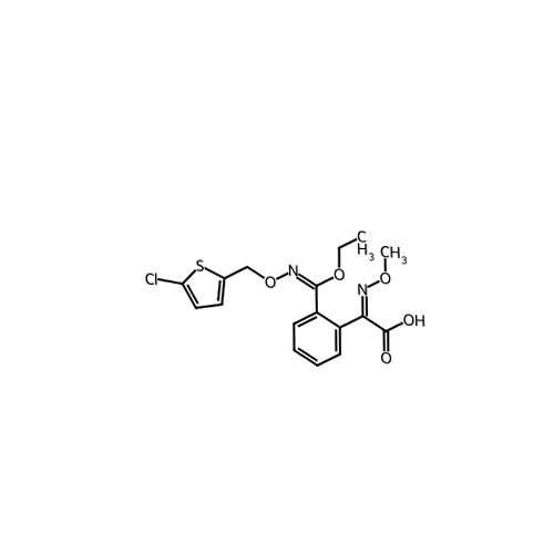 CCO/C(=N/OCc1ccc(Cl)s1)c1ccccc1/C(=N/OC)C(=O)O